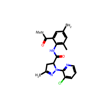 BC1=NN(c2ncccc2Cl)C(C(=O)Nc2c(C)cc(B)cc2C(=O)NC)C1